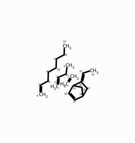 C=C.C=CCC.C=CCCCCCC.CC=C1CC2C=CC1C2